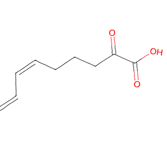 C/C=C/C=C\CCCC(=O)C(=O)O